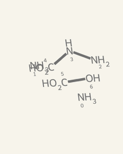 N.N.NNC(=O)O.O=C(O)O